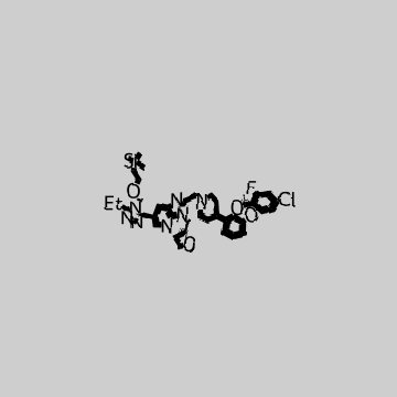 CCc1nnc(-c2cnc3c(c2)nc(CN2CCC(c4cccc5c4O[C@@](C)(c4ccc(Cl)cc4F)O5)CC2)n3C[C@@H]2CCO2)n1COCC[Si](C)(C)C